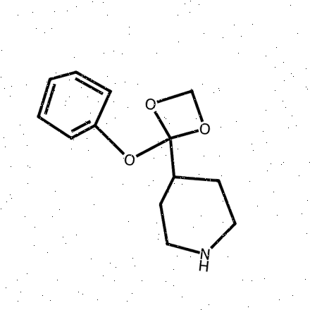 c1ccc(OC2(C3CCNCC3)OCO2)cc1